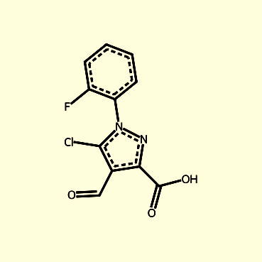 O=Cc1c(C(=O)O)nn(-c2ccccc2F)c1Cl